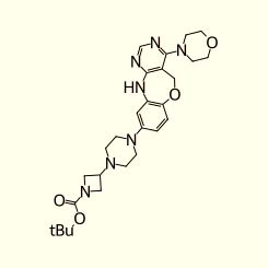 CC(C)(C)OC(=O)N1CC(N2CCN(c3ccc4c(c3)Nc3ncnc(N5CCOCC5)c3CO4)CC2)C1